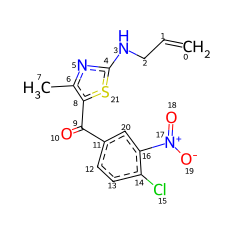 C=CCNc1nc(C)c(C(=O)c2ccc(Cl)c([N+](=O)[O-])c2)s1